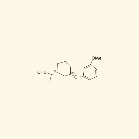 COc1cccc(O[C@H]2CCC[C@@H](C(C)C=O)C2)c1